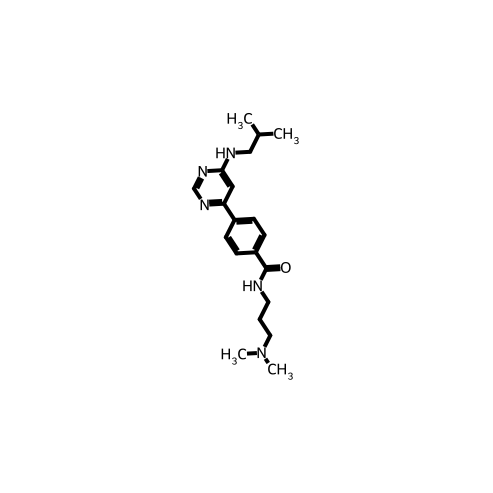 CC(C)CNc1cc(-c2ccc(C(=O)NCCCN(C)C)cc2)ncn1